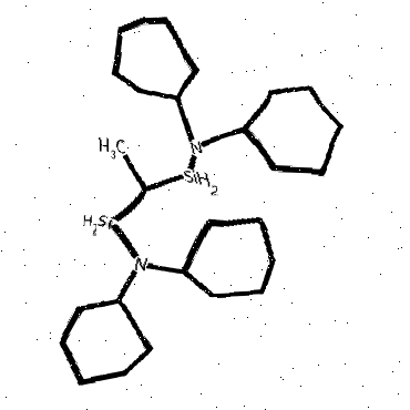 CC([SiH2]N(C1CCCCC1)C1CCCCC1)[SiH2]N(C1CCCCC1)C1CCCCC1